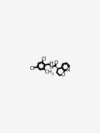 Cc1cc(Cl)cc(Cl)c1CNC(=O)[C@@H]1CCOc2ncccc21